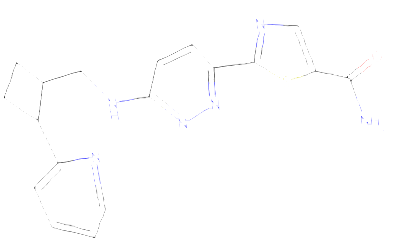 NC(=O)c1cnc(-c2ccc(NCC3CCC3c3ccccn3)nn2)s1